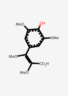 COC(C(=O)O)=C(OC)c1cc(OC)c(O)c(OC)c1